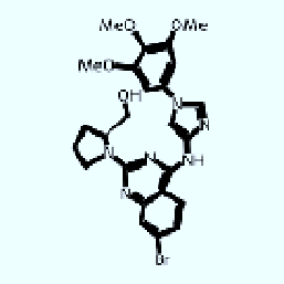 COc1cc(-n2cnc(Nc3nc(N4CCC[C@H]4CO)nc4cc(Br)ccc34)c2)cc(OC)c1OC